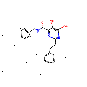 O=C(NCc1ccccc1)c1nc(CCc2ccccc2)nc(O)c1O